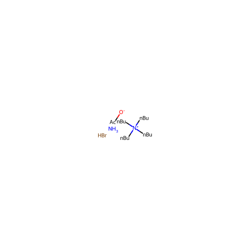 Br.CC(=O)[O-].CCCC[N+](CCCC)(CCCC)CCCC.N